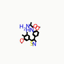 COc1ccc(-c2cnsc2-c2cc(C)c(C)c(OC)c2)cc1NC(=O)C(C)N